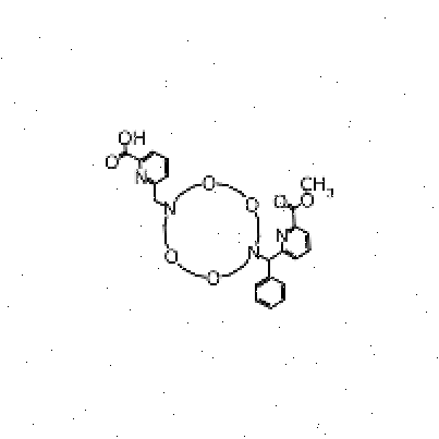 COC(=O)c1cccc(C(c2ccccc2)N2CCOCCOCCN(Cc3cccc(C(=O)O)n3)CCOCCOCC2)n1